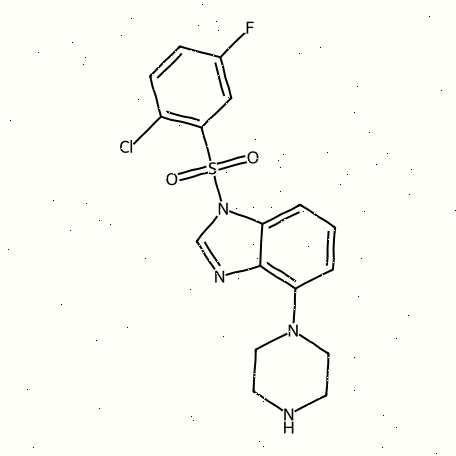 O=S(=O)(c1cc(F)ccc1Cl)n1cnc2c(N3CCNCC3)cccc21